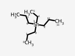 CC[CH2][Sn]([CH2]C)([CH2]CC)[CH2]CC